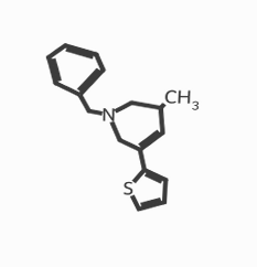 CC1C=C(c2cccs2)CN(Cc2ccccc2)C1